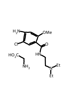 CCN(CC)CCNC(=O)c1cc(Cl)c(N)cc1OC.NCC(=O)O